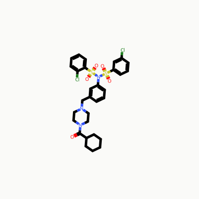 O=C(C1CCCCC1)N1CCN(Cc2cccc(N(S(=O)(=O)c3cccc(Cl)c3)S(=O)(=O)c3ccccc3Cl)c2)CC1